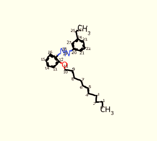 CCCCCCCCCCCOc1ccccc1N=Nc1cccc(CC)c1